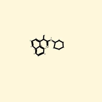 CC(C(=O)OC1CCCCC1)c1cccc2ccccc12